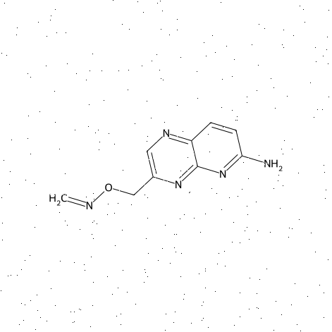 C=NOCc1cnc2ccc(N)nc2n1